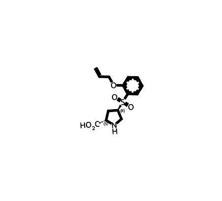 C=CCOc1ccccc1S(=O)(=O)[C@H]1CN[C@H](C(=O)O)C1